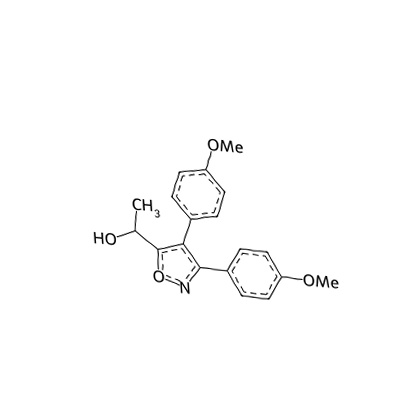 COc1ccc(-c2noc(C(C)O)c2-c2ccc(OC)cc2)cc1